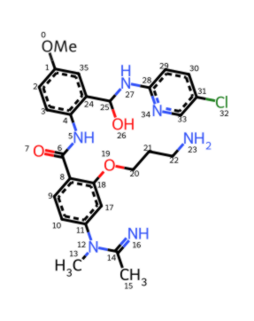 COc1ccc(NC(=O)c2ccc(N(C)C(C)=N)cc2OCCCN)c(C(O)Nc2ccc(Cl)cn2)c1